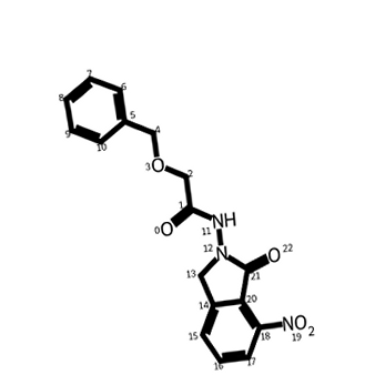 O=C(COCc1ccccc1)NN1Cc2cccc([N+](=O)[O-])c2C1=O